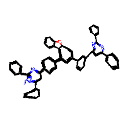 c1ccc(-c2cc(-c3ccc(-c4cc(-c5cccc(-c6cc(-c7ccccc7)nc(-c7ccccc7)n6)c5)cc5oc6ccccc6c45)cc3)nc(-c3ccccc3)n2)cc1